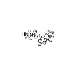 C=C(OCC(COC(=O)N1C=CNC1)OC(C)=O)n1ccnc1